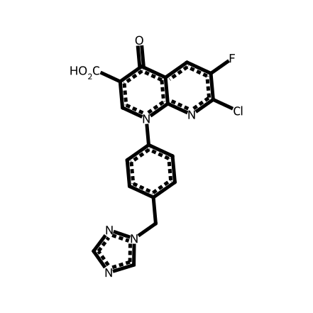 O=C(O)c1cn(-c2ccc(Cn3cncn3)cc2)c2nc(Cl)c(F)cc2c1=O